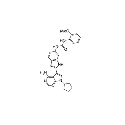 COc1ccccc1NC(=O)Nc1ccc2nc(-c3cn(C4CCCC4)c4ncnc(N)c34)[nH]c2c1